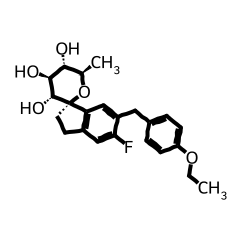 CCOc1ccc(Cc2cc3c(cc2F)CC[C@]32O[C@H](C)[C@@H](O)[C@H](O)[C@H]2O)cc1